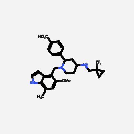 COc1cc(C)c2[nH]ccc2c1CN1CCC(NCC2(C(F)(F)F)CC2)CC1c1ccc(C(=O)O)cc1